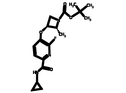 C[C@@H]1[C@@H](Oc2ccc(C(=O)NC3CC3)nc2F)CN1C(=O)OC(C)(C)C